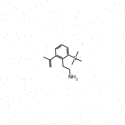 C=C(C)c1cccc([Si](C)(C)C)c1CCN